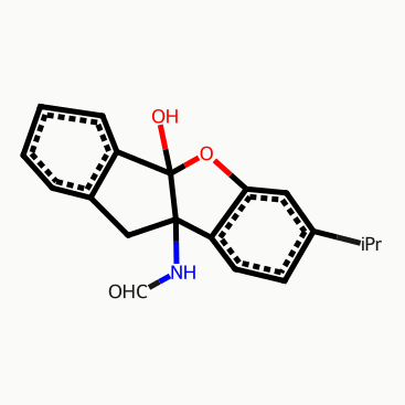 CC(C)c1ccc2c(c1)OC1(O)c3ccccc3CC21NC=O